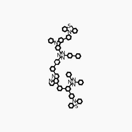 C1=CC(c2cccc(-c3ccc4cc(-c5cccc(-c6cc(-c7ccc(N8c9ccccc9Sc9ccccc98)cc7)cc(-c7nc(-c8ccccc8)nc(-c8ccccc8)n7)c6)c5)c5cccnc5c4n3)c2)CC=C1c1nc(-c2ccc(-c3ccccc3)cc2)nc(-c2ccc3c(c2)c2cc(-c4cccc(N5c6ccccc6CSc6ccccc65)c4)ccc2n3-c2ccccc2)n1